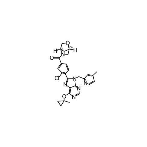 Cc1ccnc(Cn2c(-c3ccc(C(=O)N4C[C@@H]5C[C@H]4CO5)cc3Cl)nc3c(OC4(C)CC4)ncnc32)c1